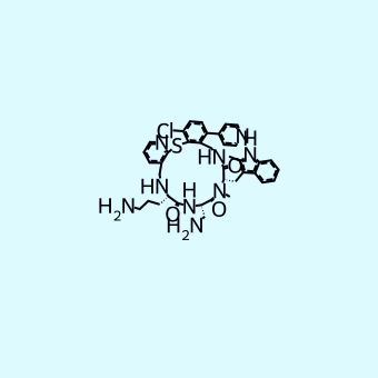 Cc1[nH]c2ccccc2c1C[C@H]1C(=O)NCc2c(-c3ccncc3)ccc(Cl)c2Sc2ncccc2CN[C@@H](CCCN)C(=O)N[C@@H](CN)C(=O)N1C